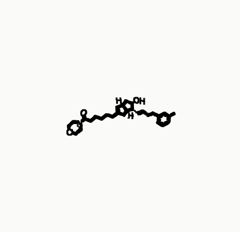 Cc1cccc(CC/C=C/[C@@H]2[C@H]3CC(CCCCCC(=O)N4CCOCC4)=C[C@H]3C[C@H]2O)c1